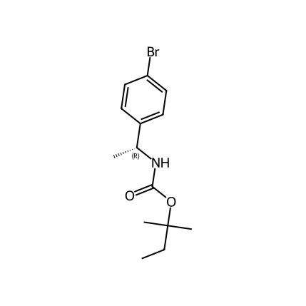 CCC(C)(C)OC(=O)N[C@H](C)c1ccc(Br)cc1